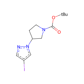 CC(C)(C)OC(=O)N1CCC(n2cc(I)cn2)C1